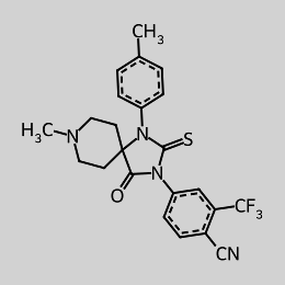 Cc1ccc(N2C(=S)N(c3ccc(C#N)c(C(F)(F)F)c3)C(=O)C23CCN(C)CC3)cc1